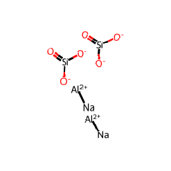 O=[Si]([O-])[O-].O=[Si]([O-])[O-].[Na][Al+2].[Na][Al+2]